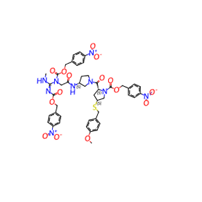 CNC(=NC(=O)OCc1ccc([N+](=O)[O-])cc1)N(CC(=O)N[C@H]1CCN(C(=O)[C@@H]2C[C@H](SCc3ccc(OC)cc3)CN2C(=O)OCc2ccc([N+](=O)[O-])cc2)C1)C(=O)OCc1ccc([N+](=O)[O-])cc1